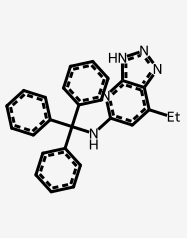 CCc1cc(NC(c2ccccc2)(c2ccccc2)c2ccccc2)nc2[nH]nnc12